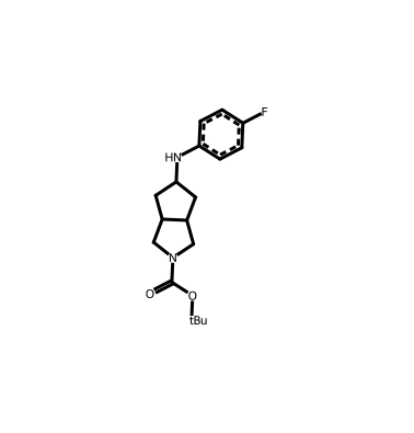 CC(C)(C)OC(=O)N1CC2CC(Nc3ccc(F)cc3)CC2C1